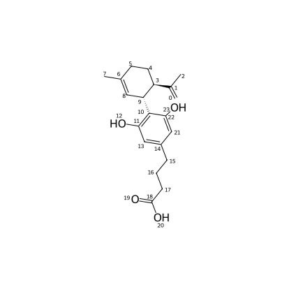 C=C(C)[C@@H]1CCC(C)=C[C@H]1c1c(O)cc(CCCC(=O)O)cc1O